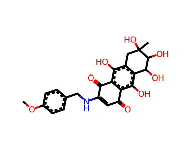 COc1ccc(CNC2=CC(=O)c3c(O)c4c(c(O)c3C2=O)CC(C)(O)C(O)C4O)cc1